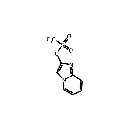 O=S(=O)(Oc1cn2ccccc2n1)C(F)(F)F